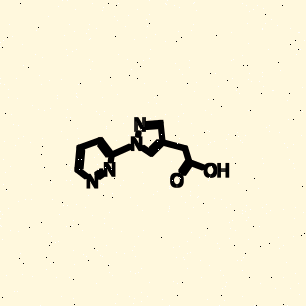 O=C(O)Cc1cnn(-c2cccnn2)c1